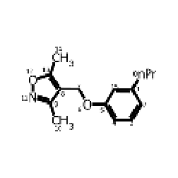 CCCc1cccc(OCc2c(C)noc2C)c1